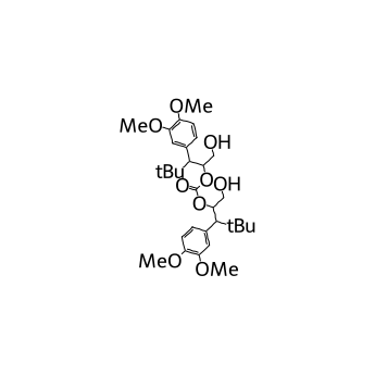 COc1ccc(C(C(CO)OC(=O)OC(CO)C(c2ccc(OC)c(OC)c2)C(C)(C)C)C(C)(C)C)cc1OC